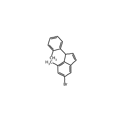 Cc1ccccc1C1C=Cc2cc(Br)cc(C)c21